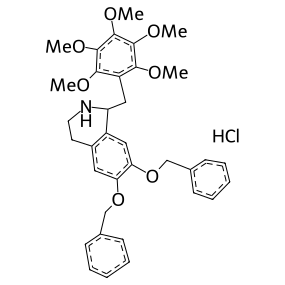 COc1c(CC2NCCc3cc(OCc4ccccc4)c(OCc4ccccc4)cc32)c(OC)c(OC)c(OC)c1OC.Cl